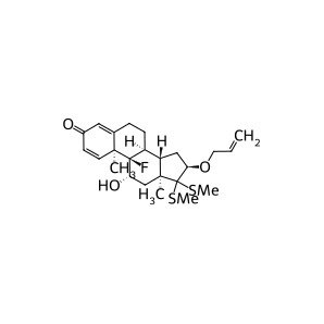 C=CCO[C@@H]1C[C@H]2[C@@H]3CCC4=CC(=O)C=C[C@]4(C)[C@@]3(F)[C@@H](O)C[C@]2(C)C1(SC)SC